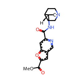 COC(=O)c1cc2cnc(C(=O)N[C@H]3CN4CCC3CC4)cc2o1